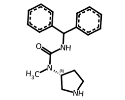 CN(C(=O)NC(c1ccccc1)c1ccccc1)[C@@H]1CCNC1